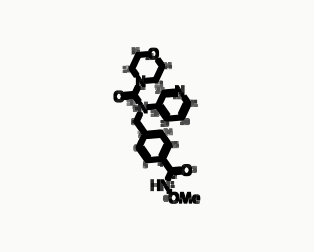 CONC(=O)c1ccc(CN(C(=O)N2CCOCC2)c2cccnc2)cc1